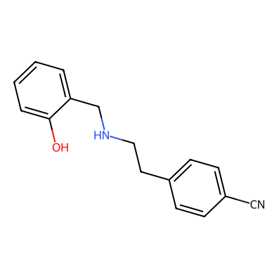 N#Cc1ccc(CCNCc2ccccc2O)cc1